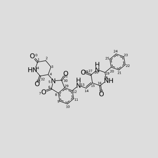 O=C1CCC(N2C(=O)c3cccc(NC=C4C(=O)NC(c5ccccc5)NC4=O)c3C2=O)C(=O)N1